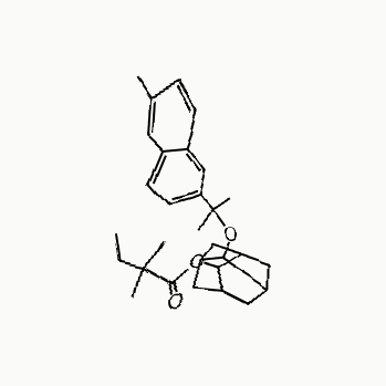 CCC(C)(C)C(=O)OC1C2CC3CC1CC(C2)C3OC(C)(C)c1ccc2cc(C)ccc2c1